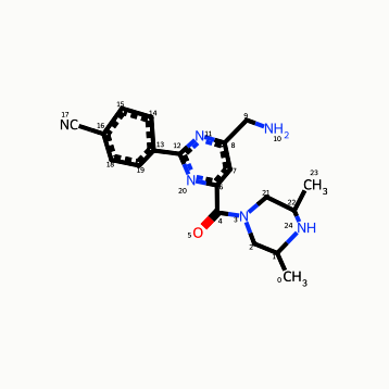 CC1CN(C(=O)c2cc(CN)nc(-c3ccc(C#N)cc3)n2)CC(C)N1